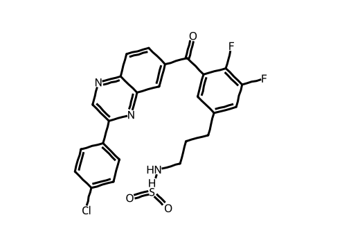 O=C(c1ccc2ncc(-c3ccc(Cl)cc3)nc2c1)c1cc(CCCN[SH](=O)=O)cc(F)c1F